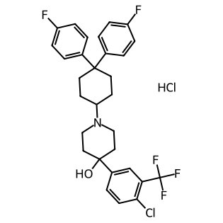 Cl.OC1(c2ccc(Cl)c(C(F)(F)F)c2)CCN(C2CCC(c3ccc(F)cc3)(c3ccc(F)cc3)CC2)CC1